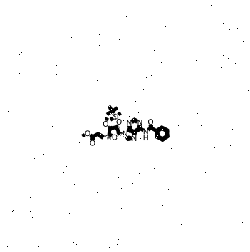 COC(=O)C=C[C@H]1O[C@@H](n2cnc3c(NC(=O)c4ccccc4)ncnc32)[C@H](O[Si](C)(C)C(C)(C)C)[C@@H]1OC